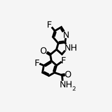 NC(=O)c1ccc(F)c(C(=O)C2CNc3ncc(F)cc32)c1F